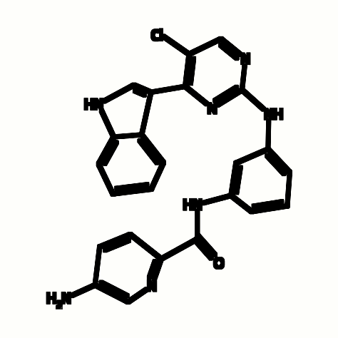 Nc1ccc(C(=O)Nc2cccc(Nc3ncc(Cl)c(-c4c[nH]c5ccccc45)n3)c2)nc1